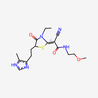 CCN1C(=O)C(CCc2nc[nH]c2C)S/C1=C(/C#N)C(=O)NCCOC